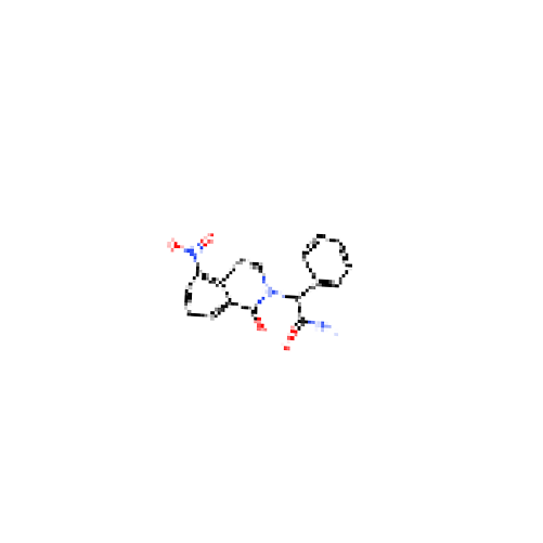 NC(=O)C(c1ccccc1)n1ccc2c([N+](=O)[O-])cccc2c1=O